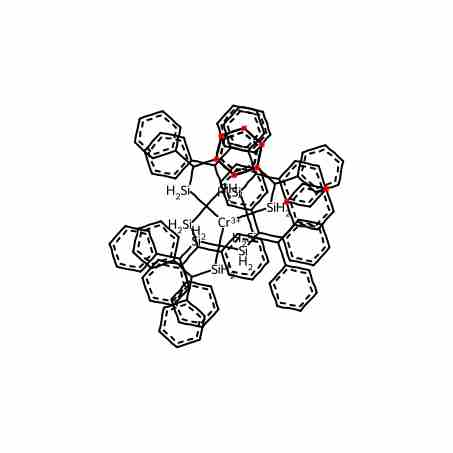 c1ccc(C([SiH2][C]([SiH2]C(c2ccccc2)c2ccccc2)([SiH2]C(c2ccccc2)c2ccccc2)[Cr+3]([C]([SiH2]C(c2ccccc2)c2ccccc2)([SiH2]C(c2ccccc2)c2ccccc2)[SiH2]C(c2ccccc2)c2ccccc2)[C]([SiH2]C(c2ccccc2)c2ccccc2)([SiH2]C(c2ccccc2)c2ccccc2)[SiH2]C(c2ccccc2)c2ccccc2)c2ccccc2)cc1